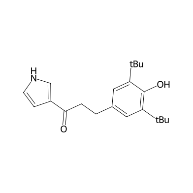 CC(C)(C)c1cc(CCC(=O)c2cc[nH]c2)cc(C(C)(C)C)c1O